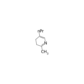 CCCC1=CN=C(C)CC1